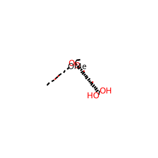 C=C.C=C.C=C.C=C.C=C.C=C.C=C.C=C.C=C.C=C.C=C.C=C.C=C.C=C.C=C.C=C.C=C.C=C.C=C.C=C.C=C.C=C.C=CC(=O)OOC.OCCO